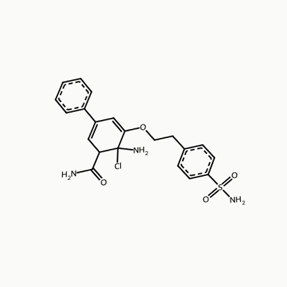 NC(=O)C1C=C(c2ccccc2)C=C(OCCc2ccc(S(N)(=O)=O)cc2)C1(N)Cl